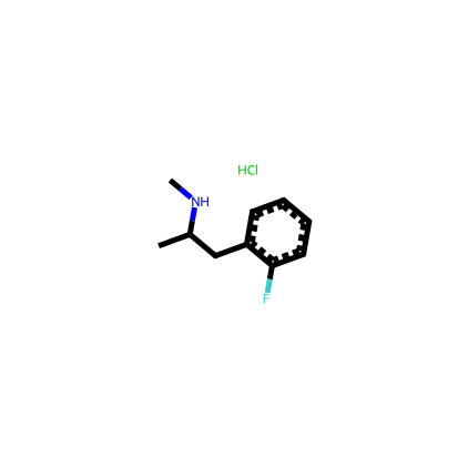 CNC(C)Cc1ccccc1F.Cl